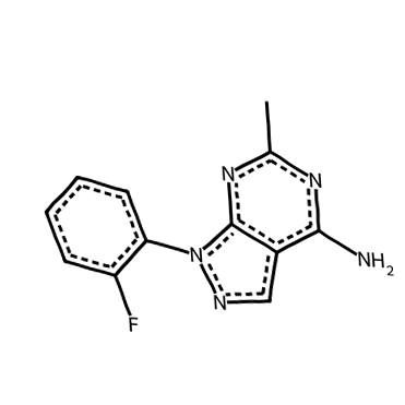 Cc1nc(N)c2cnn(-c3ccccc3F)c2n1